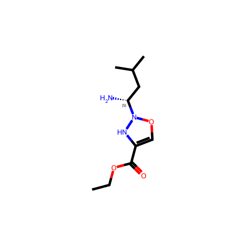 CCOC(=O)C1=CON([C@H](N)CC(C)C)N1